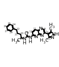 Cc1n[nH]c(C)c1-c1cnc2ccc(NC(=O)N[C@H](C)CCCc3ccccc3)nc2n1